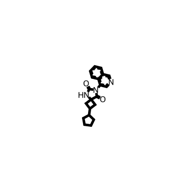 O=C1NC2(CC(C3CCCC3)C2)C(=O)N1c1cncc2ccccc12